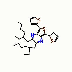 CCCCC(CC)Cc1nc2c(-c3cccs3)sc(C3CC=CS3)c2nc1CC(CC)CCCC